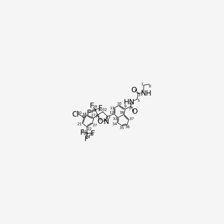 CCNC(=O)CNC(=O)c1ccc(C2=NOC(c3cc(Cl)cc(C(F)(F)F)c3)(C(F)(F)F)C2)c2ccccc12